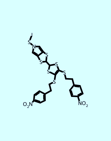 O=[N+]([O-])c1ccc(CCSC2=C(SCCc3ccc([N+](=O)[O-])cc3)SC(C3Sc4cn(SI)cc4S3)S2)cc1